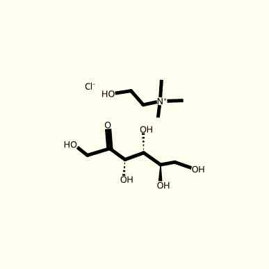 C[N+](C)(C)CCO.O=C(CO)[C@@H](O)[C@H](O)[C@H](O)CO.[Cl-]